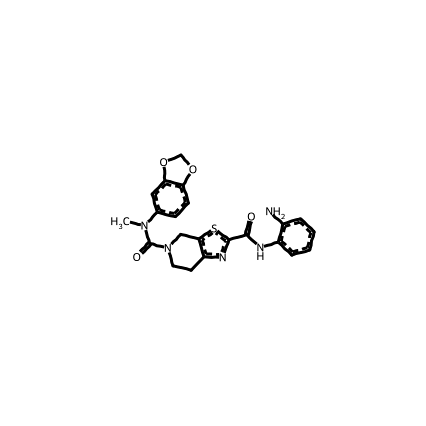 CN(C(=O)N1CCc2nc(C(=O)Nc3ccccc3N)sc2C1)c1ccc2c(c1)OCO2